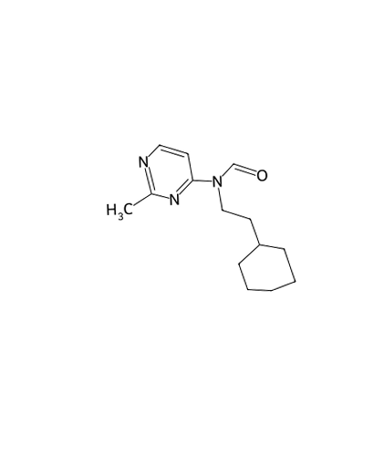 Cc1nccc(N(C=O)CCC2CCCCC2)n1